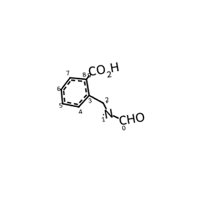 O=C[N][CH]c1ccccc1C(=O)O